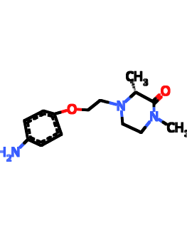 C[C@@H]1C(=O)N(C)CCN1CCOc1ccc(N)cc1